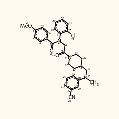 COc1ccc(C(=O)N(CC(=O)N2CCC(CN(C)c3ccnc(C#N)c3)CC2)c2ccccc2Cl)cc1